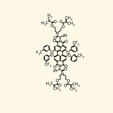 C=C(C)C(=O)OCCN(CCOC(=O)C(=C)C)C(=O)C(C(C)C)N1C(=O)c2cc(Oc3cccc(C(F)(F)F)c3)c3c4c(Oc5cccc(C(F)(F)F)c5)cc5c6c(cc(Oc7cccc(C(F)(F)F)c7)c(c7c(Oc8cccc(C(F)(F)F)c8)cc(c2c37)C1=O)c64)C(=O)N(C(C(=O)N(CCOC(=O)C(=C)C)CCOC(=O)C(=C)C)C(C)C)C5=O